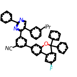 CC(C)c1cccc(-c2cnc(-c3ccccc3)nc2-c2cc(C#N)cc(-c3ccc4c(c3)OC(c3ccccc3)(c3ccccc3)c3ccc(F)cc3-4)c2)c1